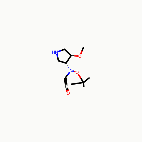 CO[C@@H]1CNC[C@H]1N(C=C=O)OC(C)(C)C